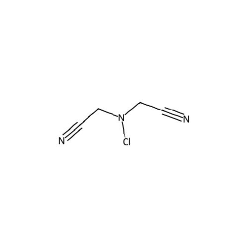 N#CCN(Cl)CC#N